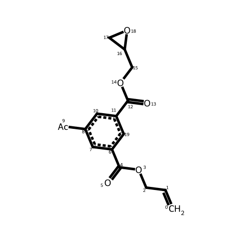 C=CCOC(=O)c1cc(C(C)=O)cc(C(=O)OCC2CO2)c1